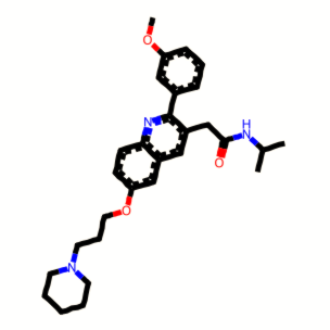 COc1cccc(-c2nc3ccc(OCCCN4CCCCC4)cc3cc2CC(=O)NC(C)C)c1